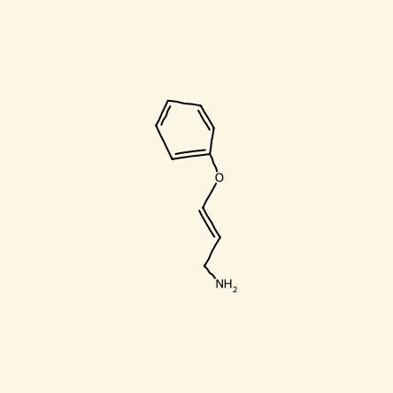 NC/C=C/Oc1ccccc1